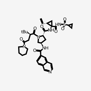 C=C[C@@H]1C[C@]1(NC(=O)[C@@H]1C[C@@H](NC(=O)c2ccc3cnccc3c2)CN1C(=O)[C@@H](CC(=O)N1CCCCC1)C(C)(C)C)C(=O)NS(=O)(=O)C1CC1